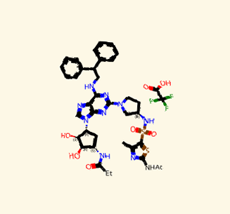 CCC(=O)N[C@H]1C[C@@H](n2cnc3c(NCC(c4ccccc4)c4ccccc4)nc(N4CC[C@@H](NS(=O)(=O)c5sc(NC(C)=O)nc5C)C4)nc32)[C@H](O)[C@@H]1O.O=C(O)C(F)(F)F